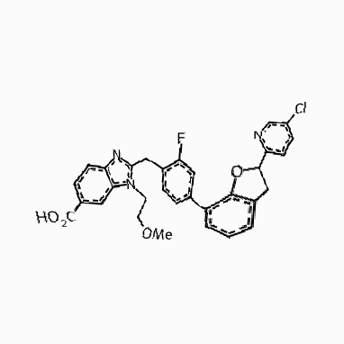 COCCn1c(Cc2ccc(-c3cccc4c3OC(c3ccc(Cl)cn3)C4)cc2F)nc2ccc(C(=O)O)cc21